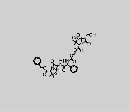 CC1(C)S[C@@H]2C(NC(=O)C(NC(=O)OCOC(=O)[C@@H]3N4C(=O)[C@@H](CO)[C@H]4S(=O)(=O)C3(C)C)c3ccccc3)C(=O)N2[C@H]1C(=O)OCc1ccccc1